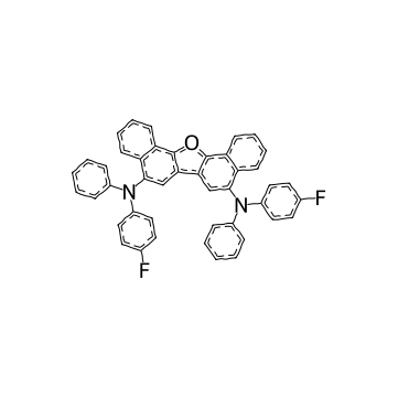 Fc1ccc(N(c2ccccc2)c2cc3c4cc(N(c5ccccc5)c5ccc(F)cc5)c5ccccc5c4oc3c3ccccc23)cc1